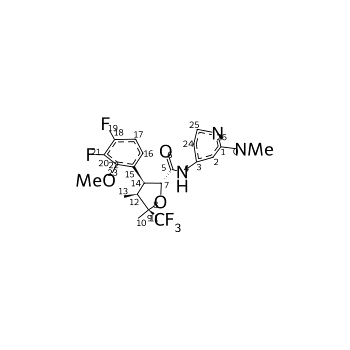 CNc1cc(NC(=O)[C@@H]2O[C@@](C)(C(F)(F)F)[C@@H](C)[C@H]2c2ccc(F)c(F)c2OC)ccn1